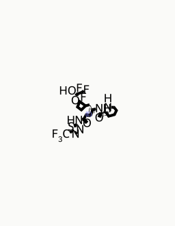 O=C(/C=C/[C@H](CC1CCC1)NC(=O)[C@@H]1CCCCN1)Nc1nnc(C(F)(F)F)s1.O=C(O)C(F)(F)F